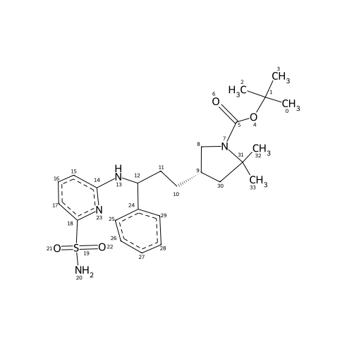 CC(C)(C)OC(=O)N1C[C@@H](CCC(Nc2cccc(S(N)(=O)=O)n2)c2ccccc2)CC1(C)C